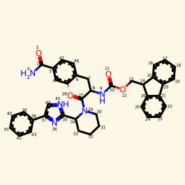 NC(=O)c1ccc(CC(NC(=O)OCC2c3ccccc3-c3ccccc32)C(=O)N2CCCCC2c2nc(-c3ccccc3)c[nH]2)cc1